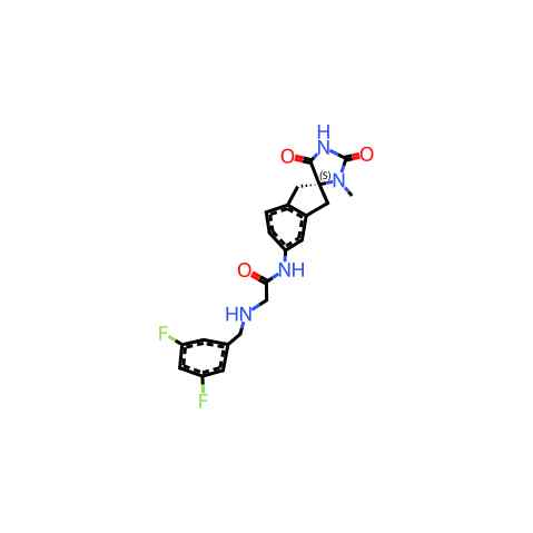 CN1C(=O)NC(=O)[C@@]12Cc1ccc(NC(=O)CNCc3cc(F)cc(F)c3)cc1C2